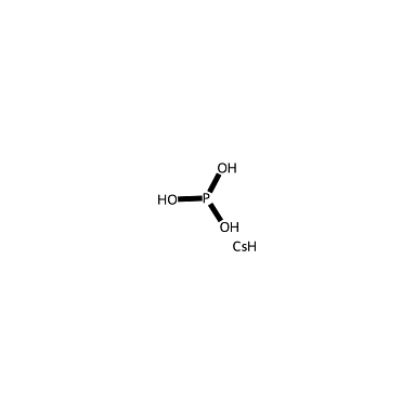 OP(O)O.[CsH]